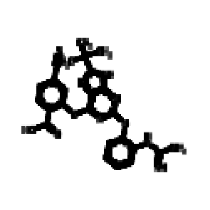 CC(C)(C)c1nc2c(Oc3cc(C#N)ccc3C(=O)O)nc(Oc3ccccc3NC(=N)N)nc2[nH]1